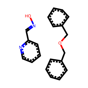 ON=Cc1ccccn1.c1ccc(COCc2ccccc2)cc1